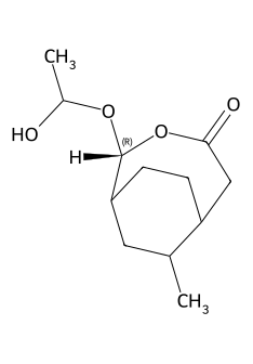 CC(O)O[C@@H]1OC(=O)CC2CCC1CC2C